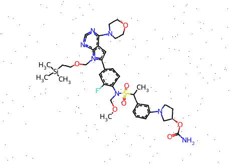 COCN(c1ccc(-c2cc3c(N4CCOCC4)ncnc3n2COCC[Si](C)(C)C)cc1F)S(=O)(=O)C(C)c1cccc(N2CC[C@@H](OC(N)=O)C2)c1